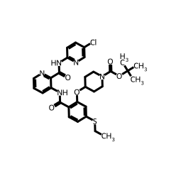 CCSc1ccc(C(=O)Nc2cccnc2C(=O)Nc2ccc(Cl)cn2)c(OC2CCN(C(=O)OC(C)(C)C)CC2)c1